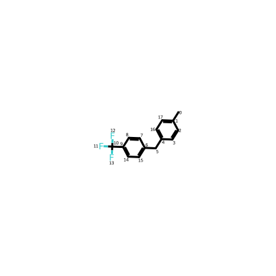 Cc1ccc(Cc2ccc(C(F)(F)F)cc2)cc1